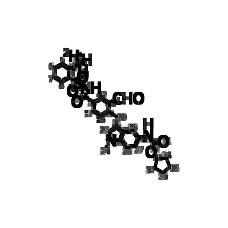 [2H]C([2H])([2H])c1ccccc1S(=O)(=O)NC(=O)c1ccc(Cc2cn(C)c3ccc(NC(=O)OC4CCCC4)cc23)c(C=O)c1